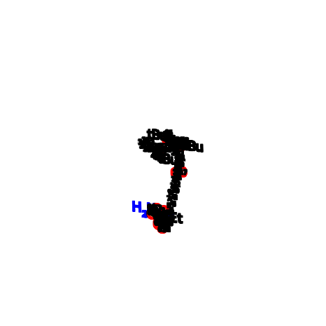 CCN(C(=O)CCCCCCCCCCCOC(=O)CCC/C=C\C[C@@H]1[C@@H](CC[C@@H](CCc2ccccc2)O[Si](C)(C)C(C)(C)C)[C@H](O[Si](C)(C)C(C)(C)C)C[C@@H]1O[Si](C)(C)C(C)(C)C)[C@H]1C[C@H](C)S(=O)(=O)c2sc(S(N)(=O)=O)cc21